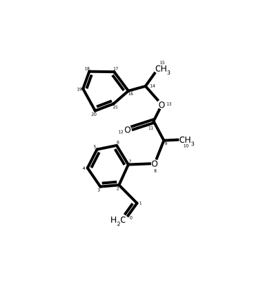 C=Cc1ccccc1OC(C)C(=O)OC(C)c1ccccc1